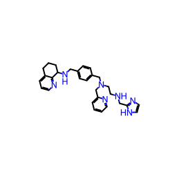 c1ccc(CN(CCNCc2ncc[nH]2)Cc2ccc(CNC3CCCc4cccnc43)cc2)nc1